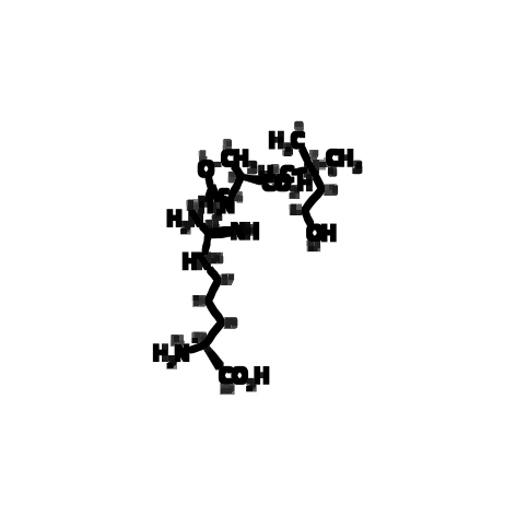 CC(=O)[O-].C[C@H](N)C(=O)O.C[N+](C)(C)CCO.N=C(N)NCCC[C@H](N)C(=O)O